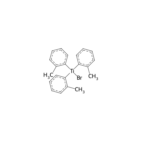 Cc1cccc[c]1[Ti]([Br])([c]1ccccc1C)[c]1ccccc1C